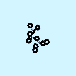 c1ccc(-c2cc3c(ccc4c5ccccc5n(-c5cccc(N(c6ccc7ccccc7c6)c6ccc7ccccc7c6)c5)c43)n2-c2ccccc2)cc1